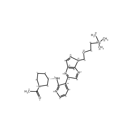 CC(=O)N1CCC[C@H](Nc2ncccc2-c2cnc3c(cnn3COCC[Si](C)(C)C)n2)C1